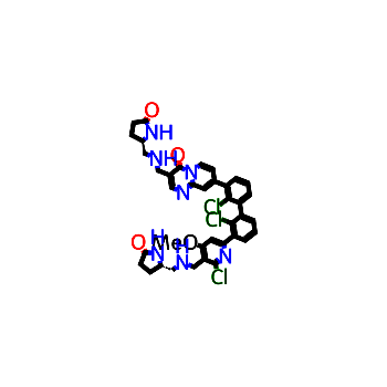 COc1cc(-c2cccc(-c3cccc(-c4ccn5c(=O)c(CNC[C@H]6CCC(=O)N6)cnc5c4)c3Cl)c2Cl)nc(Cl)c1CNC[C@@H]1CCC(=O)N1